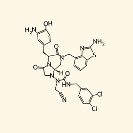 N#CCN(C(=O)NCc1ccc(Cl)c(Cl)c1)N1CC(=O)N2[C@@H](Cc3ccc(O)c(N)c3)C(=O)N(Cc3cccc4sc(N)nc34)C[C@@H]21